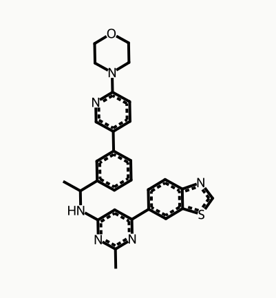 Cc1nc(NC(C)c2cccc(-c3ccc(N4CCOCC4)nc3)c2)cc(-c2ccc3ncsc3c2)n1